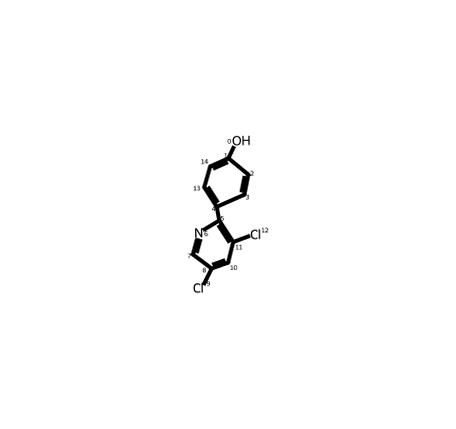 Oc1ccc(-c2ncc(Cl)cc2Cl)cc1